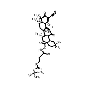 CC1(C)CC[C@]2(C(=O)ONC(=N)CCNC(=O)OC(C)(C)C)CC[C@]3(C)C(C(=O)C=C4[C@@]5(C)C=C(C#N)C(=O)C(C)(C)[C@@H]5CC[C@]43C)C2C1